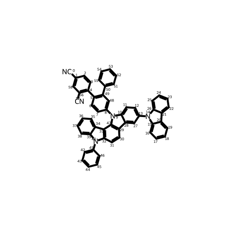 N#Cc1ccc(-c2ccc(-n3c4ccc(-n5c6ccccc6c6ccccc65)cc4c4ccc5c(c6ccccc6n5-c5ccccc5)c43)cc2-c2ccccc2)c(C#N)c1